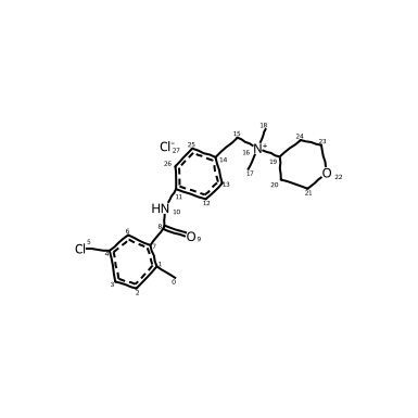 Cc1ccc(Cl)cc1C(=O)Nc1ccc(C[N+](C)(C)C2CCOCC2)cc1.[Cl-]